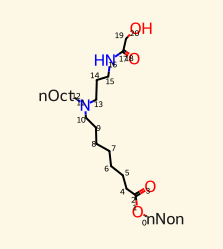 CCCCCCCCCOC(=O)CCCCCCCN(CCCCCCCC)CCCNC(=O)CO